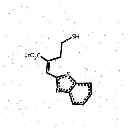 CCOC(=O)C(=Cc1nc2ccccc2s1)CCS